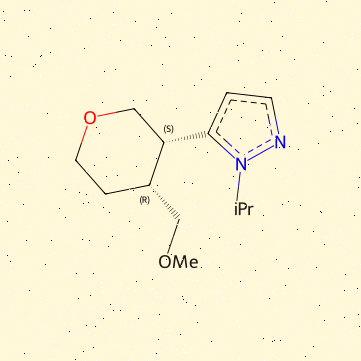 COC[C@@H]1CCOC[C@@H]1c1ccnn1C(C)C